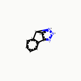 c1ccc2c(c1)-c1nnn3c1C23